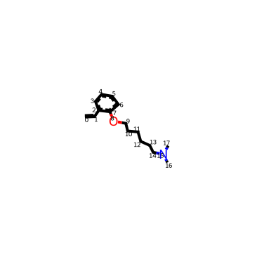 C=Cc1ccccc1OCCCCCCN(C)C